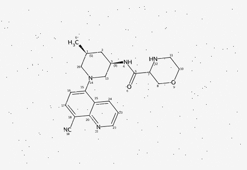 C[C@H]1C[C@@H](NC(=O)C2COCCN2)CN(c2ccc(C#N)c3ncccc23)C1